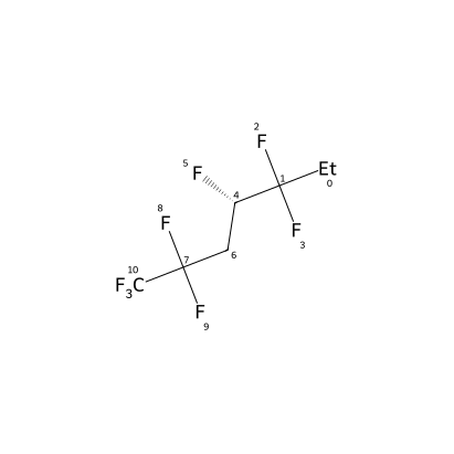 [CH2]CC(F)(F)[C@@H](F)CC(F)(F)C(F)(F)F